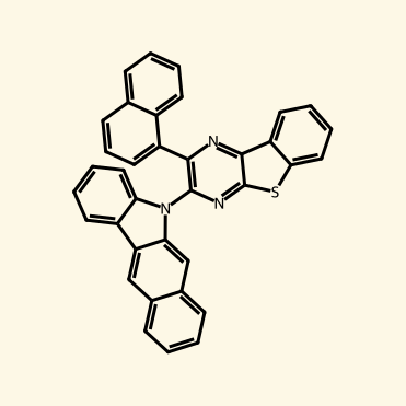 c1ccc2cc3c(cc2c1)c1ccccc1n3-c1nc2sc3ccccc3c2nc1-c1cccc2ccccc12